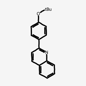 CC(C)(C)Oc1ccc(-c2ccc3ccccc3n2)cc1